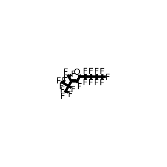 O=C(C(F)=C(C(F)(F)F)C(F)(C(F)(F)F)C(F)(F)F)C(F)(F)C(F)(F)C(F)(F)C(F)(F)F